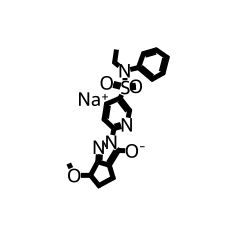 CCN(c1ccccc1)S(=O)(=O)c1ccc(-n2nc3c(c2[O-])CCC3OC)nc1.[Na+]